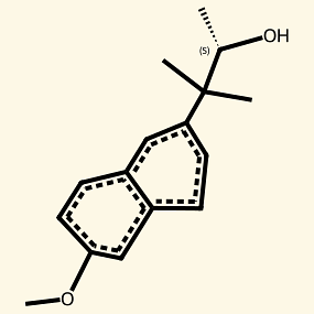 COc1ccc2cc(C(C)(C)[C@H](C)O)ccc2c1